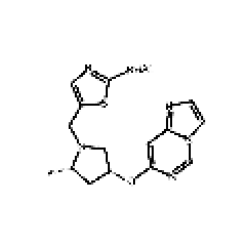 CC(=O)Nc1ncc(CN2C[C@H](Oc3cc4nccn4cn3)C[C@@H]2C)s1